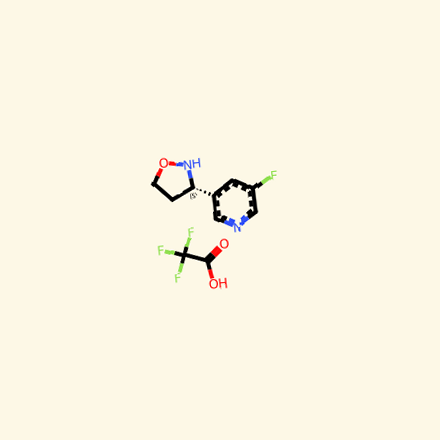 Fc1cncc([C@@H]2CCON2)c1.O=C(O)C(F)(F)F